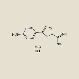 Cl.N=C(N)c1ccc(-c2ccc(N)cc2)s1.O